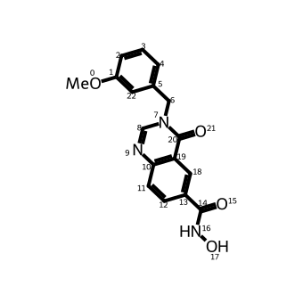 COc1cccc(Cn2cnc3ccc(C(=O)NO)cc3c2=O)c1